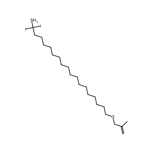 C=C(C)COCCCCCCCCCCCCCCCCCC([SiH3])(I)I